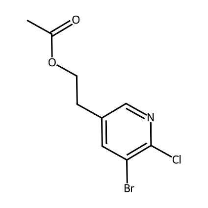 CC(=O)OCCc1cnc(Cl)c(Br)c1